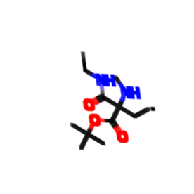 [CH2]CC(NC)(C(=O)NCC)C(=O)OC(C)(C)C